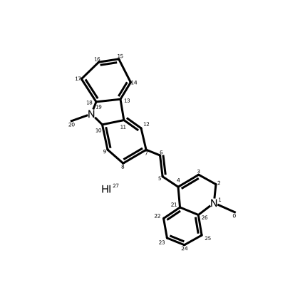 CN1CC=C(C=Cc2ccc3c(c2)c2ccccc2n3C)c2ccccc21.I